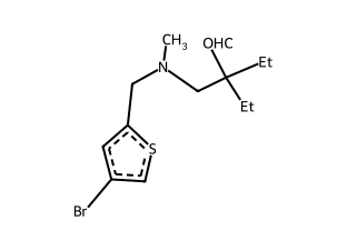 CCC(C=O)(CC)CN(C)Cc1cc(Br)cs1